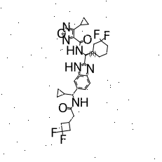 O=C(CC1CC(F)(F)C1)NC(c1ccc2nc(C(NC(=O)c3nonc3C3CC3)[C@@H]3CCCC(F)(F)C3)[nH]c2c1)C1CC1